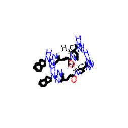 CC1(c2c[nH]nn2)CCN(C(=O)/C=C/c2cnc(NC3Cc4ccccc4C3)nc2)C1.CC1(c2c[nH]nn2)CCN(C(=O)/C=C/c2cnc(NC3Cc4ccccc4C3)nc2)C1